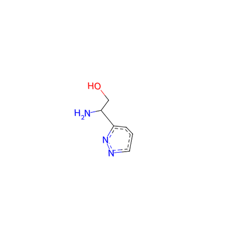 NC(CO)c1cccnn1